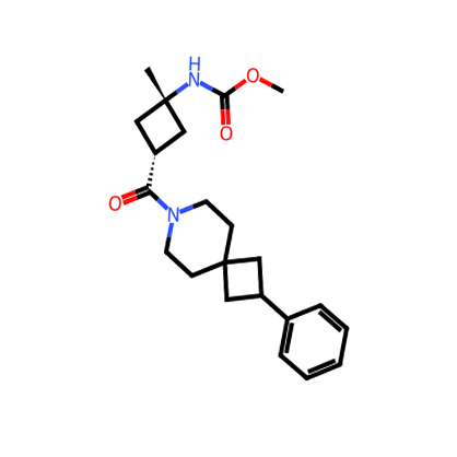 COC(=O)N[C@]1(C)C[C@H](C(=O)N2CCC3(CC2)CC(c2ccccc2)C3)C1